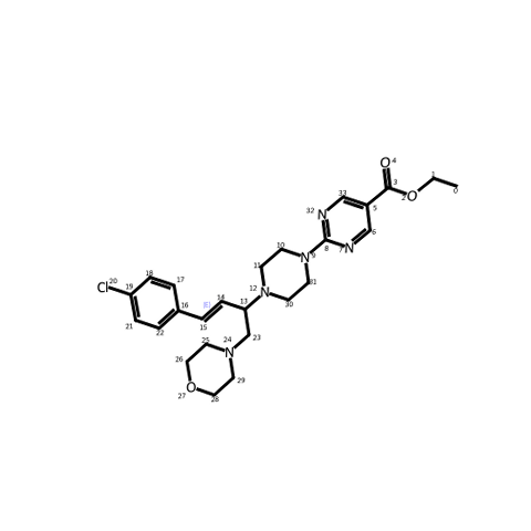 CCOC(=O)c1cnc(N2CCN(C(/C=C/c3ccc(Cl)cc3)CN3CCOCC3)CC2)nc1